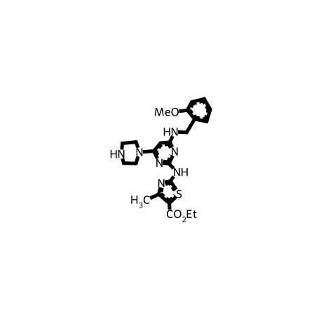 CCOC(=O)c1sc(Nc2nc(NCc3ccccc3OC)cc(N3CCNCC3)n2)nc1C